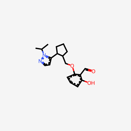 CC(C)n1nccc1C1CCCC1COc1cccc(O)c1C=O